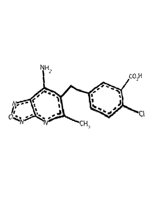 Cc1nc2nonc2c(N)c1Cc1ccc(Cl)c(C(=O)O)c1